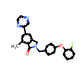 Cc1cc(-c2cnccn2)cc2c1C(=O)N(Cc1ccc(Oc3ccccc3F)cc1)C2